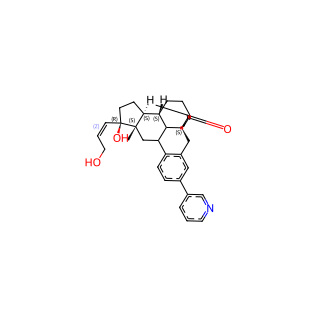 C[C@]12CC3c4ccc(-c5cccnc5)cc4C[C@]45CCC(=O)C=C4CC[C@H](C35)[C@@H]1CC[C@@]2(O)/C=C\CO